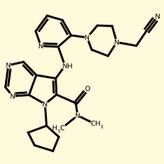 CN(C)C(=O)c1c(Nc2ncccc2N2CCN(CC#N)CC2)c2cncnc2n1C1CCCC1